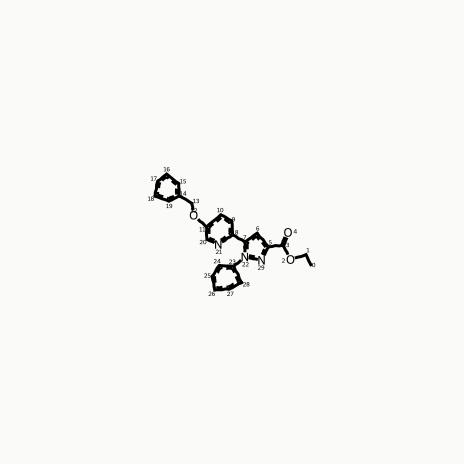 CCOC(=O)c1cc(-c2ccc(OCc3ccccc3)cn2)n(-c2ccccc2)n1